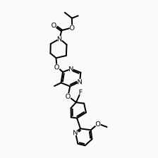 COc1cccnc1C1=CCC(F)(Oc2ncnc(OC3CCN(C(=O)OC(C)C)CC3)c2C)C=C1